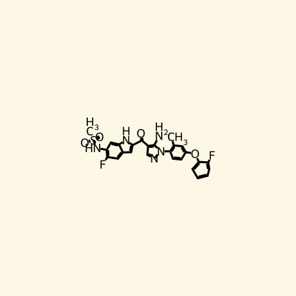 Cc1cc(Oc2ccccc2F)ccc1-n1ncc(C(=O)c2cc3cc(F)c(NS(C)(=O)=O)cc3[nH]2)c1N